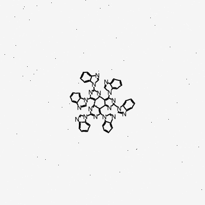 c1ccc2c(c1)ncn2-c1nc(-n2cnc3ccccc32)c2c(n1)c1c(-n3cnc4ccccc43)nc(-n3cnc4ccccc43)nc1c1c(-n3cnc4ccccc43)nc(-n3cnc4ccccc43)nc21